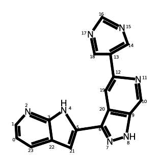 c1cnc2[nH]c(-c3n[nH]c4cnc(-c5cncnc5)cc34)cc2c1